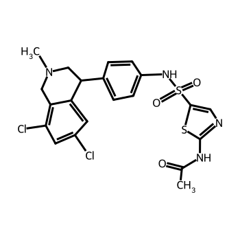 CC(=O)Nc1ncc(S(=O)(=O)Nc2ccc(C3CN(C)Cc4c(Cl)cc(Cl)cc43)cc2)s1